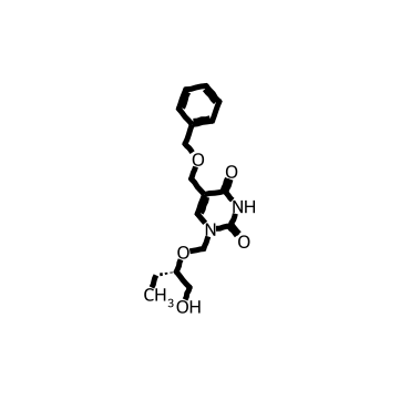 CC[C@@H](CO)OCn1cc(COCc2ccccc2)c(=O)[nH]c1=O